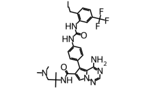 CN(C)CC(C)(C)NC(=O)c1cn2ncnc(N)c2c1-c1ccc(NC(=O)Nc2cc(C(F)(F)F)ccc2CI)cc1